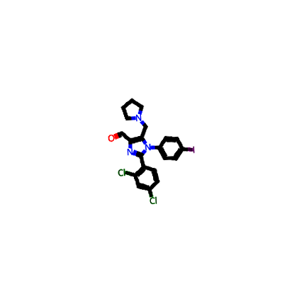 O=Cc1nc(-c2ccc(Cl)cc2Cl)n(-c2ccc(I)cc2)c1CN1CCCC1